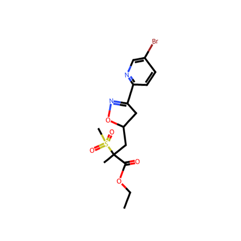 CCOC(=O)C(C)(CC1CC(c2ccc(Br)cn2)=NO1)S(C)(=O)=O